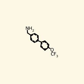 NCc1ccc(-c2ccc(OC(F)(F)F)cc2)cc1